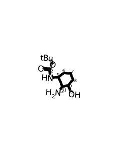 CC(C)(C)OC(=O)NC1CCCC(O)C1N